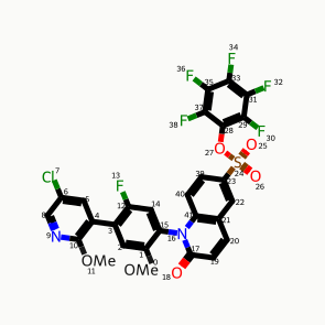 COc1cc(-c2cc(Cl)cnc2OC)c(F)cc1-n1c(=O)ccc2cc(S(=O)(=O)Oc3c(F)c(F)c(F)c(F)c3F)ccc21